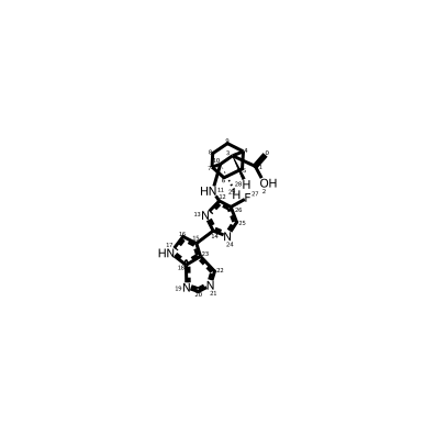 C=C(O)[C@H]1C2CCC(CC2)[C@@H]1Nc1nc(-c2c[nH]c3ncncc23)ncc1F